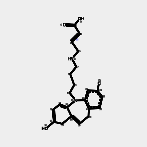 O=C(O)/C=C/CNCCCCN1C2=CC=C(O)CC2=CCc2ccc(Cl)cc21